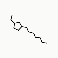 [CH2]CC1C[CH]C(CCOCCCC)C1